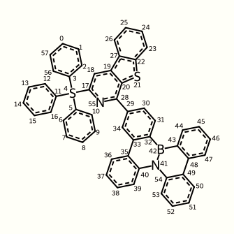 c1ccc(S(c2ccccc2)(c2ccccc2)c2cc3c(sc4ccccc43)c(-c3ccc4c(c3)-c3ccccc3N3B4c4ccccc4-c4ccccc43)n2)cc1